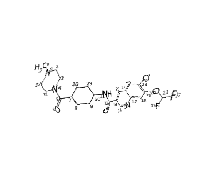 CN1CCN(C(=O)C2CCC(NC(=O)c3cnc4cc(OC(F)F)c(Cl)cc4c3)CC2)CC1